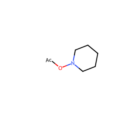 CC(=O)ON1CCCCC1